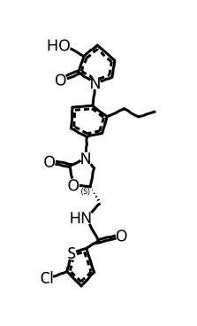 CCCc1cc(N2C[C@H](CNC(=O)c3ccc(Cl)s3)OC2=O)ccc1-n1cccc(O)c1=O